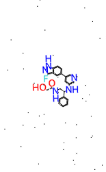 O=C(CO)NC[C@@H](Nc1cncc(-c2ccc3[nH]nc(F)c3c2)c1)c1ccccc1